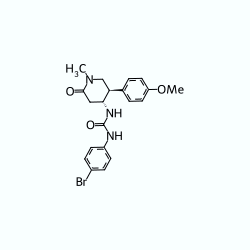 COc1ccc([C@@H]2CN(C)C(=O)C[C@H]2NC(=O)Nc2ccc(Br)cc2)cc1